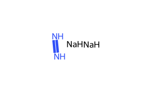 N=N.[NaH].[NaH]